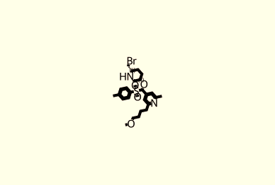 COCCCCc1cc(C(O[C@@H]2CC[C@@H](CBr)NC2)S(=O)(=O)c2ccc(C)cc2)cc(C)n1